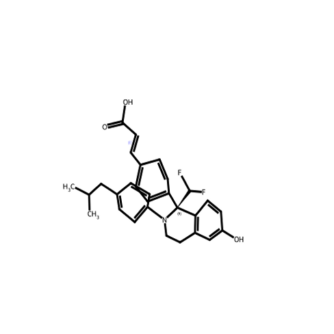 CC(C)Cc1ccc(N2CCc3cc(O)ccc3[C@]2(c2ccc(/C=C/C(=O)O)cc2)C(F)F)cc1